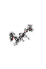 CC(c1ccc(-c2cn(C)c(=O)c3cnccc23)cc1OC(F)(F)F)N1CCC(N(C)C(=O)N2CCC(c3ccc(NC4CCC(=O)NC4=O)cc3F)CC2)CC1